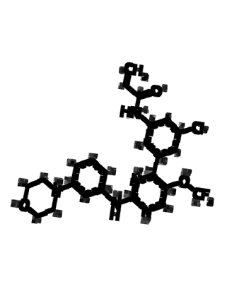 C=CC(=O)Nc1cc(Cl)cc(-c2nc(Nc3cccc(N4CCOCC4)c3)ncc2OC(F)(F)F)c1